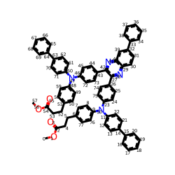 COC(=O)CCc1ccc(N(c2ccc(-c3ccccc3)cc2)c2ccc(-c3nc4ccc(-c5ccccc5)cc4nc3-c3ccc(N(c4ccc(CCC(=O)OC)cc4)c4ccc(-c5ccccc5)cc4)cc3)cc2)cc1